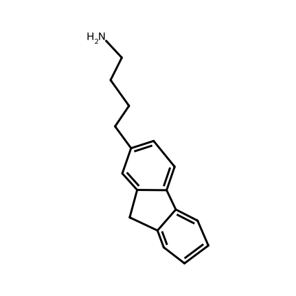 NCCCCc1ccc2c(c1)Cc1ccccc1-2